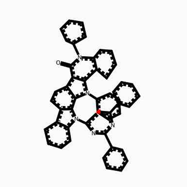 O=c1c2c3ccc4c5ccccc5n(-c5nc(-c6ccccc6)nc(-c6ccccc6)n5)c4c3n(-c3ccccc3)c2c2ccccc2n1-c1ccccc1